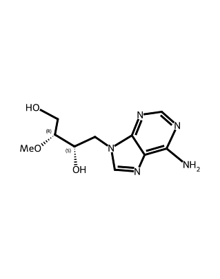 CO[C@H](CO)[C@@H](O)Cn1cnc2c(N)ncnc21